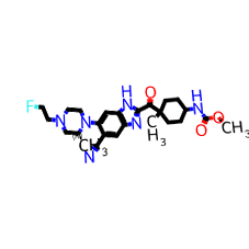 COC(=O)NC1CCC(C)(C(=O)c2nc3cc(C#N)c(N4CCN(CCF)C[C@H]4C)cc3[nH]2)CC1